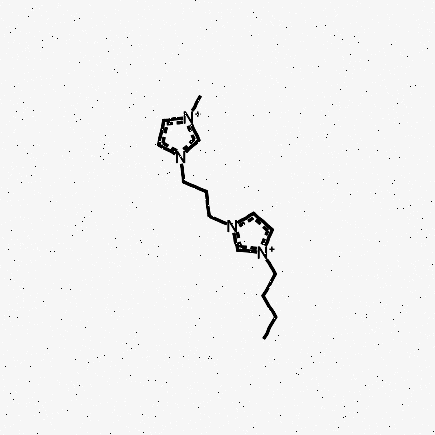 CCCC[n+]1ccn(CCCn2cc[n+](C)c2)c1